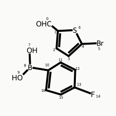 O=Cc1ccc(Br)s1.OB(O)c1ccc(F)cc1